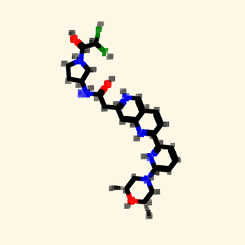 C[C@@H]1CN(c2cccc(-c3ccc4cnc(CC(=O)NC5CCN(C(=O)C(F)F)C5)cc4n3)n2)C[C@H](C)O1